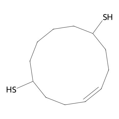 SC1CCC=CCCC(S)CCCC1